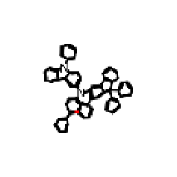 C1=CC2=C(CC1)C(c1ccccc1)(c1ccccc1)c1cc(-c3ccccc3)c(N(c3ccc(-c4ccccc4)cc3)c3ccc4c(c3)c3ccccc3n4-c3ccccc3)cc12